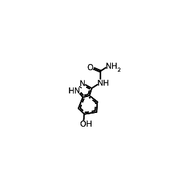 NC(=O)Nc1n[nH]c2cc(O)ccc12